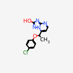 CC(Oc1ccc(Cl)cc1)c1ccnc2nc(O)nn12